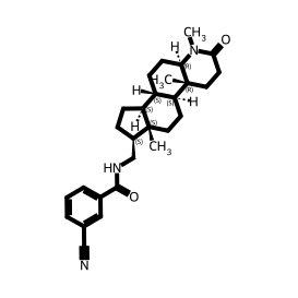 CN1C(=O)CC[C@]2(C)[C@H]3CC[C@]4(C)[C@@H](CNC(=O)c5cccc(C#N)c5)CC[C@H]4[C@@H]3CC[C@@H]12